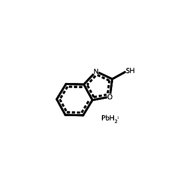 Sc1nc2ccccc2o1.[PbH2]